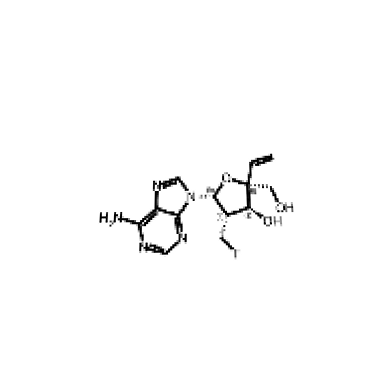 C=C[C@]1(CO)O[C@@H](n2cnc3c(N)ncnc32)[C@@H](CF)[C@@H]1O